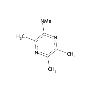 CNc1nc(C)c(C)nc1C